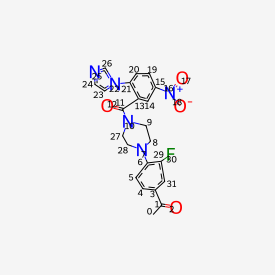 CC(=O)c1ccc(N2CCN(C(=O)c3cc([N+](=O)[O-])ccc3-n3ccnc3)CC2)c(F)c1